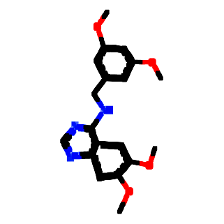 COc1cc(CNc2ncnc3cc(OC)c(OC)cc23)cc(OC)c1